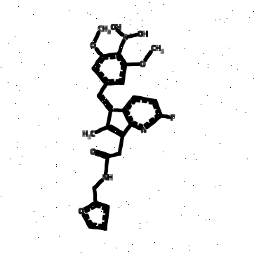 COc1cc(/C=C2/C(C)=C(CC(=O)NCc3ccco3)c3nc(F)ccc32)cc(OC)c1B(O)O